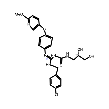 COc1ccc(Oc2ccc(/N=C(/NCc3ccc(Cl)cc3)NC(=O)NC[C@H](O)CO)cc2)cn1